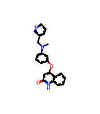 CN(Cc1cccnc1)c1cccc(Oc2cc(=O)[nH]c3ccccc23)c1